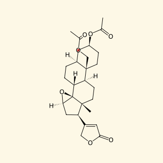 CC(=O)OC[C@]12CC[C@H](OC(C)=O)C[C@@H]1CC[C@@H]1[C@@H]2CC[C@]2(C)[C@@H](C3=CC(=O)OC3)C[C@H]3O[C@]132